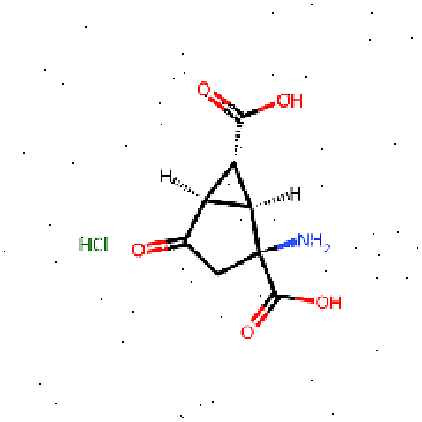 Cl.N[C@@]1(C(=O)O)CC(=O)[C@H]2[C@H](C(=O)O)[C@H]21